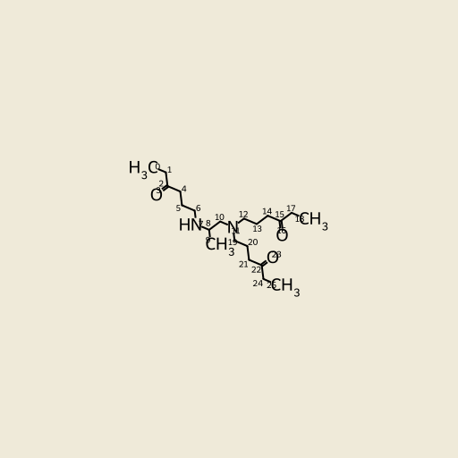 CCC(=O)CCCNC(C)CN(CCCC(=O)CC)CCCC(=O)CC